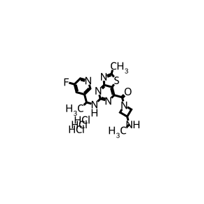 CNC1CN(C(=O)c2nc(NC(C)c3cncc(F)c3)nc3nc(C)sc23)C1.Cl.Cl.Cl